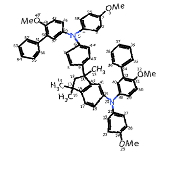 COc1ccc(N(c2ccc(C3(C)CC(C)(C)c4ccc(N(c5ccc(OC)cc5)c5ccc(OC)c(-c6ccccc6)c5)cc43)cc2)c2ccc(OC)c(-c3ccccc3)c2)cc1